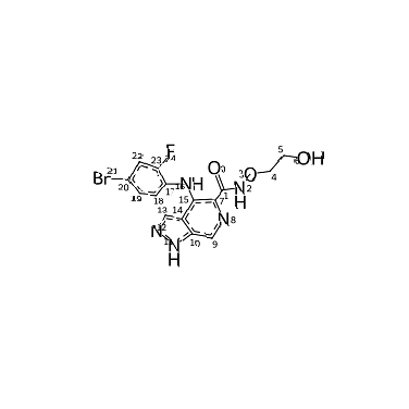 O=C(NOCCO)c1ncc2[nH]ncc2c1Nc1ccc(Br)cc1F